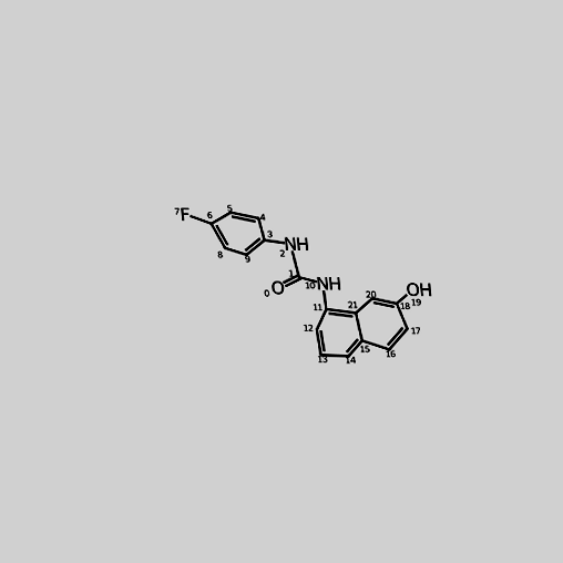 O=C(Nc1ccc(F)cc1)Nc1cccc2ccc(O)cc12